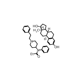 CCC(=O)N(c1ccccc1)C1CCN(CCc2ccccc2)CC1.C[C@]12CC[C@@H]3c4ccc(O)cc4CC[C@H]3[C@@H]1CC[C@@H]2O